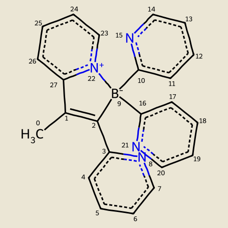 CC1=C(c2ccccn2)[B-](c2ccccn2)(c2ccccn2)[n+]2ccccc21